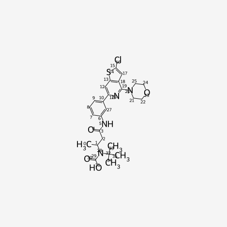 CC(CC(=O)Nc1cccc(-c2cc3sc(Cl)cc3c(N3CCOCC3)n2)c1)N(C(=O)O)C(C)(C)C